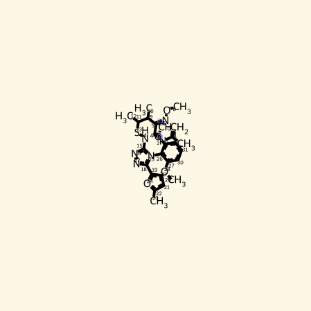 C=C(C)/N=C\C(=N\OC)C(C)C(C)SNc1nnc(-c2ccc(C)o2)n1-c1c(OC)cccc1OC